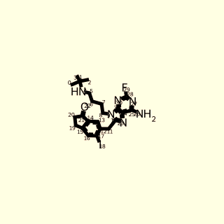 CC(C)(C)NCCCCn1c(Cc2cc3c(cc2I)CCC3=O)nc2c(N)nc(F)nc21